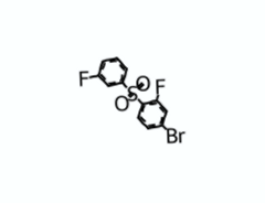 O=S(=O)(c1cccc(F)c1)c1ccc(Br)cc1F